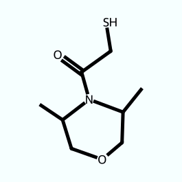 CC1COCC(C)N1C(=O)CS